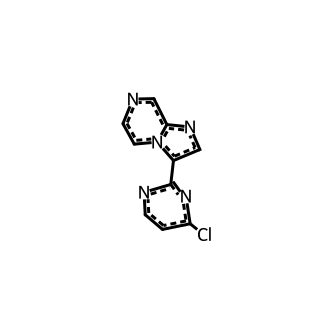 Clc1ccnc(-c2cnc3cnccn23)n1